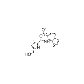 O=[N+]([O-])c1cnc2ccsc2c1NCc1nc(CO)cs1